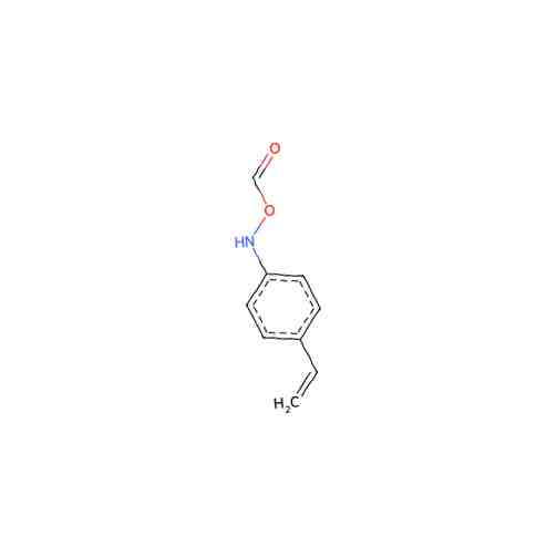 C=Cc1ccc(NOC=O)cc1